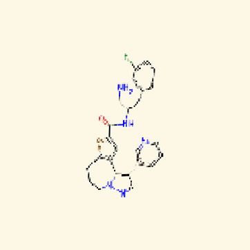 NC[C@H](Cc1cccc(F)c1)NC(=O)c1cc2c(s1)CCCN1N=C[C@@H](c3cccnc3)C21